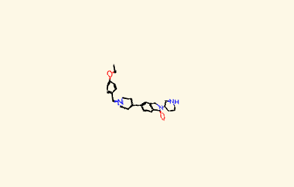 CCOc1ccc(CN2CCC(c3ccc4c(c3)CN(C3CCCNC3)C4=O)CC2)cc1